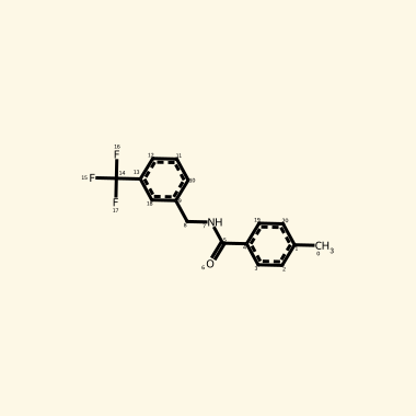 Cc1ccc(C(=O)NCc2cccc(C(F)(F)F)c2)cc1